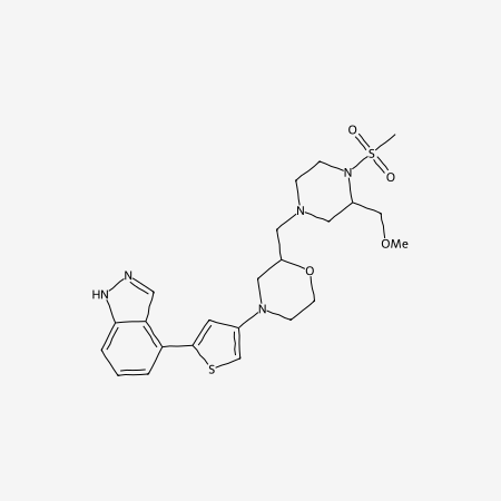 COCC1CN(CC2CN(c3csc(-c4cccc5[nH]ncc45)c3)CCO2)CCN1S(C)(=O)=O